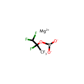 [Mg+2].[O-]B([O-])OC(F)(C(F)F)C(F)(F)F